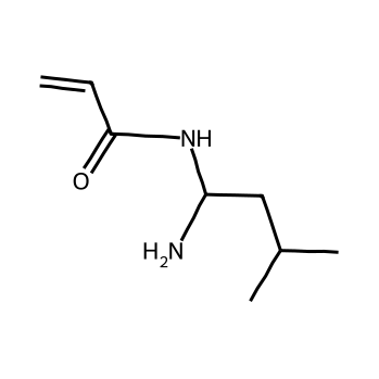 C=CC(=O)NC(N)CC(C)C